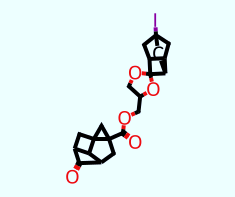 O=C1C2CC3(C(=O)OCC4COC5(O4)C4CC6(I)CC4C5C6)CC34CC1C24